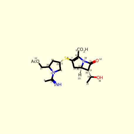 CC(=N)N1C[C@@H](SC2=C(C(=O)O)N3C(=O)[C@H](C(C)O)[C@H]3C2)CC1COC(C)=O